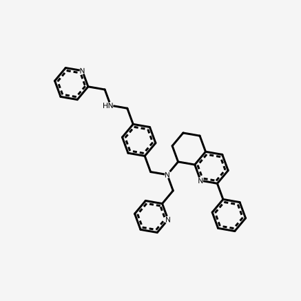 c1ccc(-c2ccc3c(n2)C(N(Cc2ccc(CNCc4ccccn4)cc2)Cc2ccccn2)CCC3)cc1